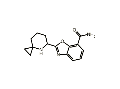 NC(=O)c1cccc2nc(C3CCCC4(CC4)N3)oc12